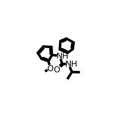 COc1ccccc1NC(=O)NC(C)C.c1ccccc1